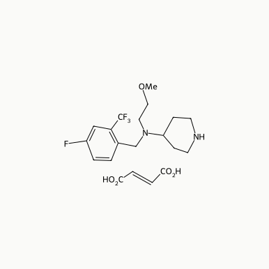 COCCN(Cc1ccc(F)cc1C(F)(F)F)C1CCNCC1.O=C(O)C=CC(=O)O